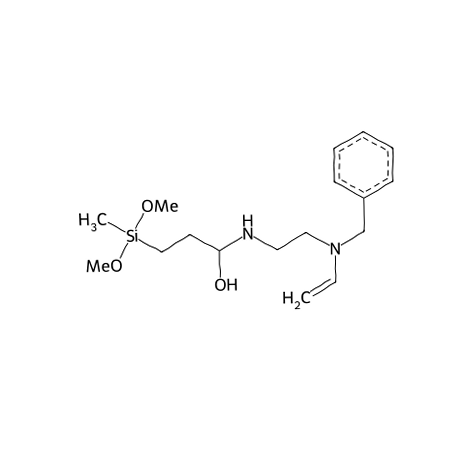 C=CN(CCNC(O)CC[Si](C)(OC)OC)Cc1ccccc1